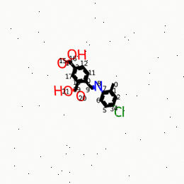 Cc1cc(Cl)ccc1N=Cc1ccc(C(=O)O)cc1C(=O)O